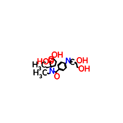 CCN(C(=O)c1ccc(N=C=C(O)CO)cc1)[C@@](CC)(CCC(=O)O)C(=O)O